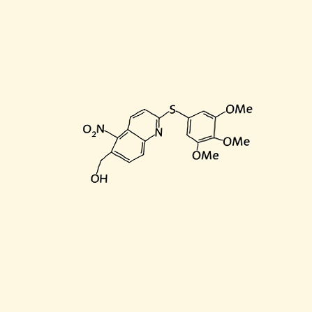 COc1cc(Sc2ccc3c([N+](=O)[O-])c(CO)ccc3n2)cc(OC)c1OC